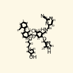 Cc1ccccc1C1=CC=CC(COc2cc(OCc3nc[nH]c3C)c(CNCc3ccnc(C#N)n3)cc2Cl)(OCCCN2CCC(O)C2)C1C